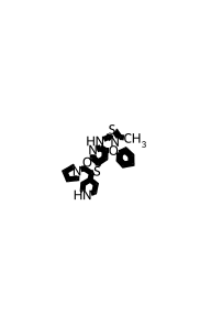 Cc1csc(Nc2ncc(SC(C(=O)N3CCCC3)C3CCNCC3)cc2Oc2ccccc2)n1